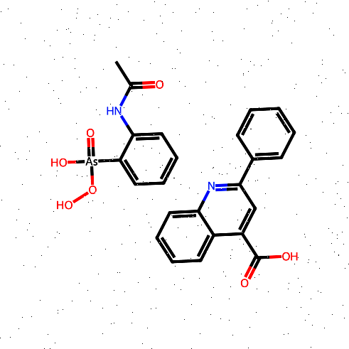 CC(=O)Nc1ccccc1[As](=O)(O)OO.O=C(O)c1cc(-c2ccccc2)nc2ccccc12